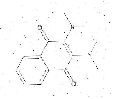 CN(C)C1=C(N(C)C)C(=O)c2ccccc2C1=O